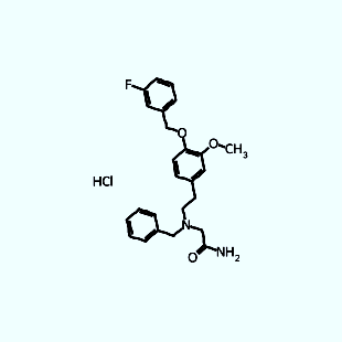 COc1cc(CCN(CC(N)=O)Cc2ccccc2)ccc1OCc1cccc(F)c1.Cl